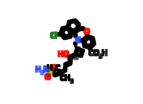 CC(C)(CC=C[C@H](O)[C@@H]1CC[C@H]1CN1C[C@@]2(CCCc3cc(Cl)ccc32)COc2ccc(C(=O)O)cc21)CS(N)(=O)=O